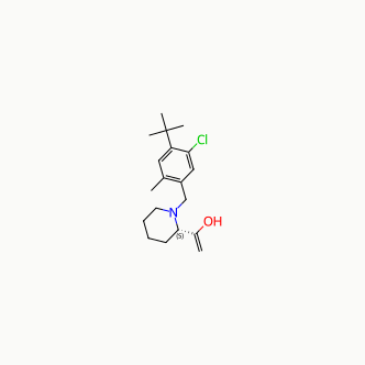 C=C(O)[C@@H]1CCCCN1Cc1cc(Cl)c(C(C)(C)C)cc1C